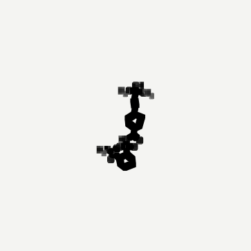 CC(C)(O)C#Cc1ccc(C(=O)NS(=O)(=O)c2ccccc2S(N)(=O)=O)cc1